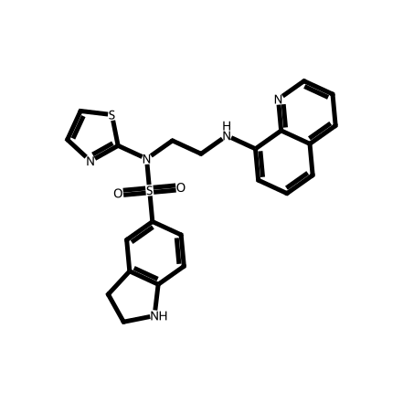 O=S(=O)(c1ccc2c(c1)CCN2)N(CCNc1cccc2cccnc12)c1nccs1